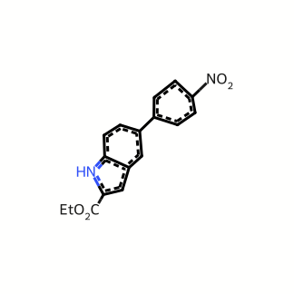 CCOC(=O)c1cc2cc(-c3ccc([N+](=O)[O-])cc3)ccc2[nH]1